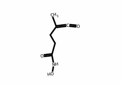 CC(=C=O)CCC(=O)NO